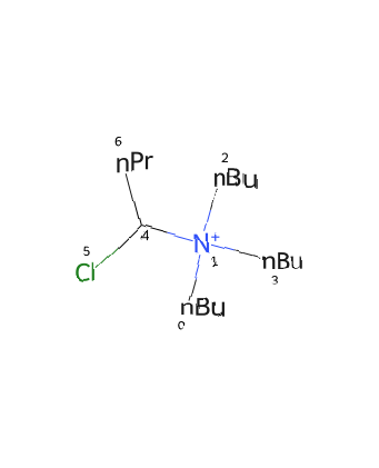 CCCC[N+](CCCC)(CCCC)C(Cl)CCC